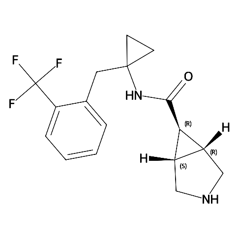 O=C(NC1(Cc2ccccc2C(F)(F)F)CC1)[C@H]1[C@@H]2CNC[C@@H]21